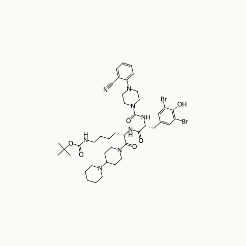 CC(C)(C)OC(=O)NCCCC[C@H](NC(=O)[C@@H](Cc1cc(Br)c(O)c(Br)c1)NC(=O)N1CCN(c2ccccc2C#N)CC1)C(=O)N1CCC(N2CCCCC2)CC1